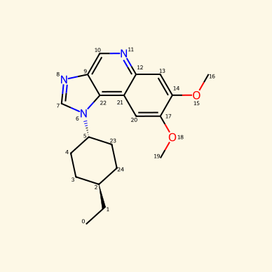 CC[C@H]1CC[C@H](n2cnc3cnc4cc(OC)c(OC)cc4c32)CC1